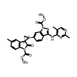 Cc1ccc2c(c1)[C@]1(C[C@H]1c1ccc3c(Nc4nc(C)ncc4C)nn(C(=O)OC(C)(C)C)c3c1)C(=O)N2C(=O)OC(C)(C)C